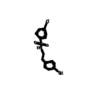 O=S(=O)(NCCc1ccc(S)cc1)c1ccc(Cl)cc1